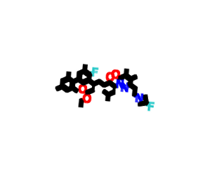 CCOC(=O)C[C@H](CCC(=O)[C@H](CC(C)C)n1nc(CCN2CC(F)C2)c(C)c(C)c1=O)c1cc(-c2c(C)cc(C)cc2C)cc(C)c1F